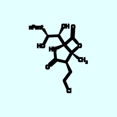 CCCCC[C@@H](O)[C@H](O)[C@@]12NC(=O)[C@H](CCCl)[C@]1(C)OC2=O